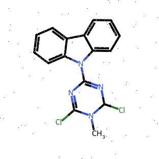 CN1C(Cl)=NC(n2c3ccccc3c3ccccc32)=NC1Cl